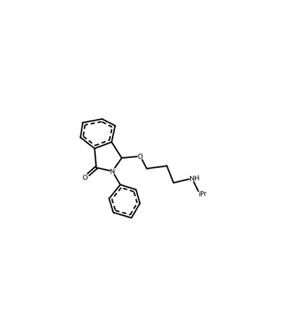 CC(C)NCCCOC1c2ccccc2C(=O)N1c1ccccc1